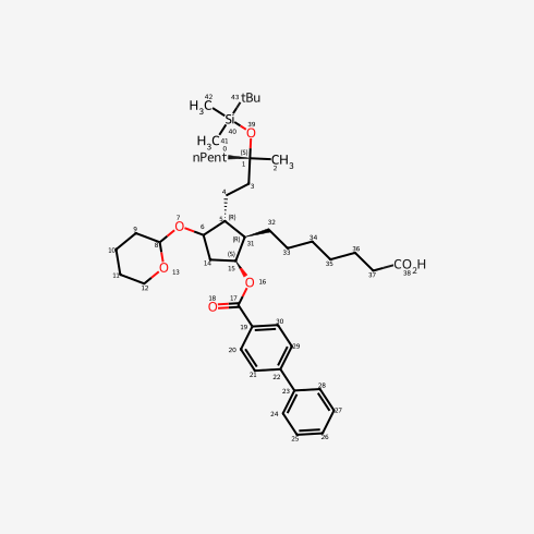 CCCCC[C@@](C)(CC[C@H]1C(OC2CCCCO2)C[C@H](OC(=O)c2ccc(-c3ccccc3)cc2)[C@@H]1CCCCCCC(=O)O)O[Si](C)(C)C(C)(C)C